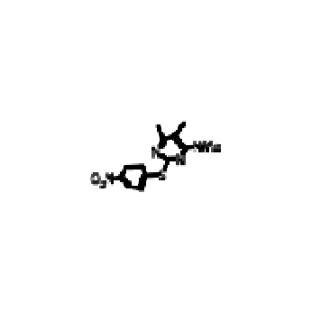 CNc1nc(Sc2ccc([N+](=O)[O-])cc2)nc(C)c1C